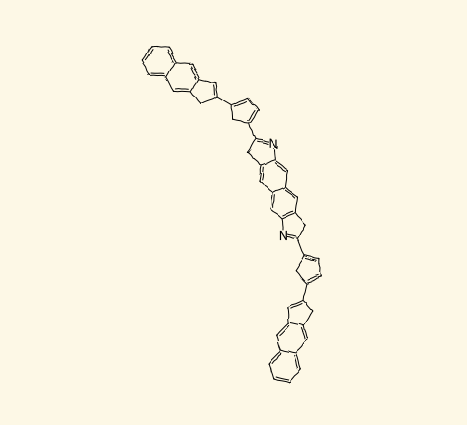 C1=C(C2=Cc3cc4ccccc4cc3C2)CC(C2=Nc3cc4cc5c(cc4cc3C2)N=C(C2=CC=C(C3=Cc4cc6ccccc6cc4C3)C2)C5)=C1